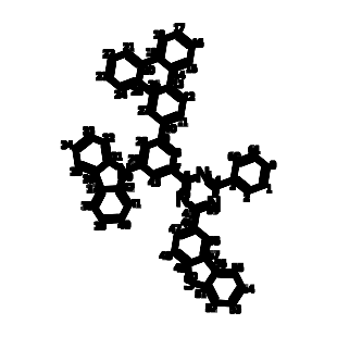 c1ccc(-c2nc(-c3cc(-c4ccc5c6ccccc6c6ccccc6c5c4)cc(-n4c5ccccc5c5ccccc54)c3)nc(-c3ccc4sc5ccccc5c4c3)n2)cc1